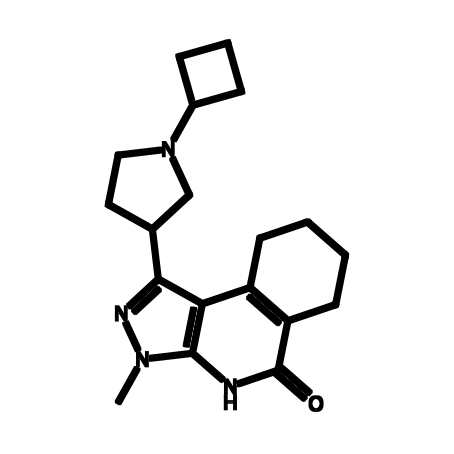 Cn1nc(C2CCN(C3CCC3)C2)c2c3c(c(=O)[nH]c21)CCCC3